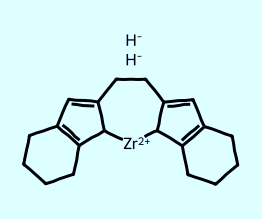 C1=C2CCC3=CC4=C(CCCC4)[CH]3[Zr+2][CH]2C2=C1CCCC2.[H-].[H-]